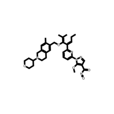 CC/C=C(\C(OCc1cc2c(cc1C)CN(C1CCOCC1)CC2)=C(C)C)c1cccc(-n2ncc(C(=O)N=O)c2OC)n1